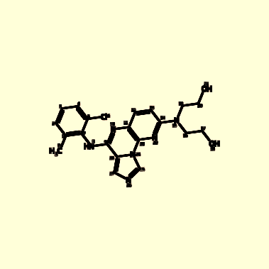 Cc1cccc(Cl)c1Nc1nc2ccc(N(CCO)CCO)nc2n2cncc12